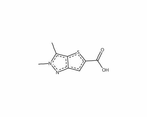 Cc1c2sc(C(=O)O)cc2nn1C